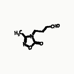 Cc1noc(=O)n1CCCC=O